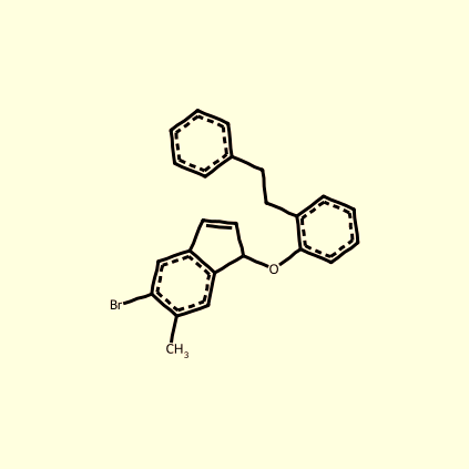 Cc1cc2c(cc1Br)C=CC2Oc1ccccc1CCc1ccccc1